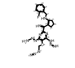 [N-]=[N+]=NCOc1c(N=NN)nc(C(=N)C2=C(NCc3ccccc3F)CCC2)nc1NN=N